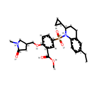 CCc1ccc2c(c1)CCC(C1CC1)N2S(=O)(=O)c1ccc(OCC2CC(=O)N(C)C2)c(C(=O)OC)c1